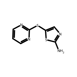 Nc1ncc(Sc2ncccn2)s1